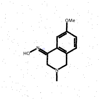 COc1ccc2c(c1)/C(=N/O)CN(C)C2